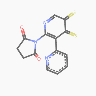 O=C1CCC(=O)N1C1=C(c2ccccn2)C(=S)C(=S)[C]=N1